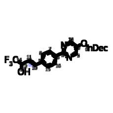 CCCCCCCCCCOc1cnc(-c2ccc(/C=C/C(O)C(F)(F)F)cc2)nc1